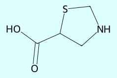 O=C(O)C1CNCS1